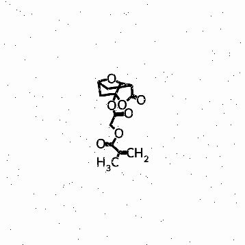 C=C(C)C(=O)OCC(=O)OC12CC3CC(C(=O)O1)C2O3